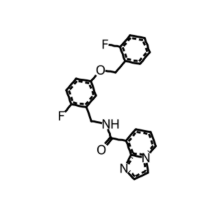 O=C(NCc1cc(OCc2ccccc2F)ccc1F)c1cccn2ccnc12